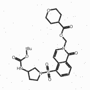 CC(C)(C)OC(=O)NC1CCN(S(=O)(=O)c2cccc3c(=O)n(COC(=O)C4CCOCC4)ccc23)C1